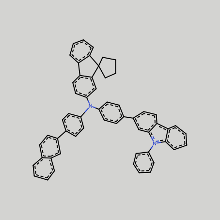 c1ccc(-n2c3ccccc3c3ccc(-c4ccc(N(c5ccc(-c6ccc7ccccc7c6)cc5)c5ccc6c(c5)C5(CCCC5)c5ccccc5-6)cc4)cc32)cc1